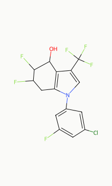 OC1c2c(C(F)(F)F)cn(-c3cc(F)cc(Cl)c3)c2CC(F)C1F